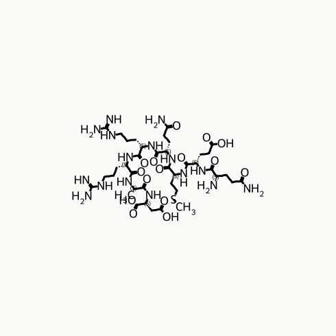 CSCC[C@H](NC(=O)[C@H](CCC(=O)O)NC(=O)[C@@H](N)CCC(N)=O)C(=O)N[C@@H](CCC(N)=O)C(=O)N[C@@H](CCCNC(=N)N)C(=O)N[C@@H](CCCNC(=N)N)C(=O)N[C@@H](C)C(=O)N[C@@H](CC(=O)O)C(=O)O